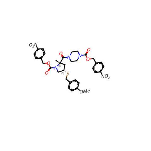 COc1ccc(CS[C@@H]2CN(C(=O)OCc3ccc([N+](=O)[O-])cc3)[C@](C)(C(=O)N3CCN(C(=O)OCc4ccc([N+](=O)[O-])cc4)CC3)C2)cc1